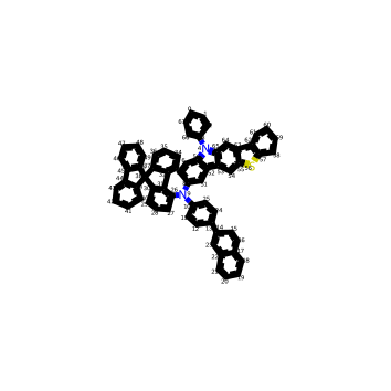 c1ccc(-n2c3ccc(N(c4ccc(-c5ccc6ccccc6c5)cc4)c4cccc5c4-c4ccccc4C54c5ccccc5-c5ccccc54)cc3c3cc4sc5ccccc5c4cc32)cc1